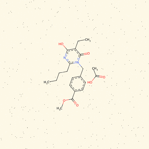 CC(=O)O.CCCCc1nc(O)c(CC)c(=O)n1Cc1ccc(C(=O)OC)cc1